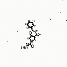 CC(C)(C)OC(=O)N1CC(C(F)F)[C@H](OCc2ccccc2)C1